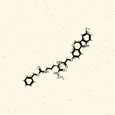 CNC(=O)[C@@H](CCCNC(=O)OCc1ccccc1)NC(=O)COc1ccc2c(c1)OCc1c-2[nH]c2ccc(F)cc12